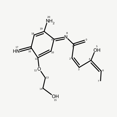 C=C(/C=C\C(O)=C/C)/N=C1\C=C(OCCO)C(=N)C=C1N